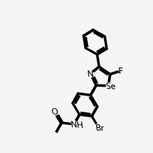 CC(=O)Nc1ccc(-c2nc(-c3ccccc3)c(F)[se]2)cc1Br